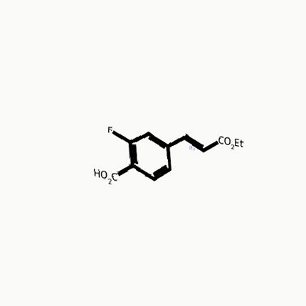 CCOC(=O)/C=C/c1ccc(C(=O)O)c(F)c1